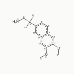 COc1cc2ccc(C(C)(C)CN)cc2cc1OC